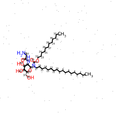 CCCCCCCCCCCCCCCCCCN(C(=O)OCCCCCCCCCCCC)[C@@H]1O[C@H](CO)[C@@H](O)[C@H](O)[C@H]1NC(=O)CN